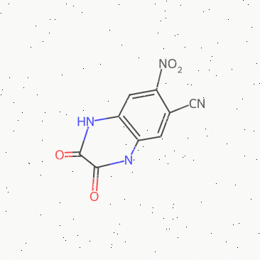 N#Cc1cc2c(cc1[N+](=O)[O-])NC(=O)C(=O)[N]2